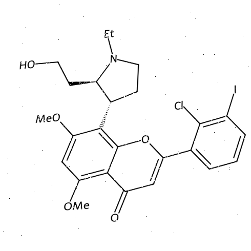 CCN1CC[C@H](c2c(OC)cc(OC)c3c(=O)cc(-c4cccc(I)c4Cl)oc23)[C@H]1CCO